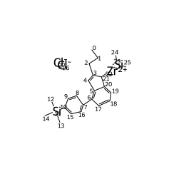 CCCC1=Cc2c(-c3ccc([Si](C)(C)C)cc3)cccc2[CH]1[Zr+2][Si](C)C.[Cl-].[Cl-]